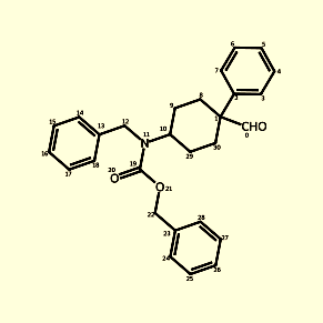 O=CC1(c2ccccc2)CCC(N(Cc2ccccc2)C(=O)OCc2ccccc2)CC1